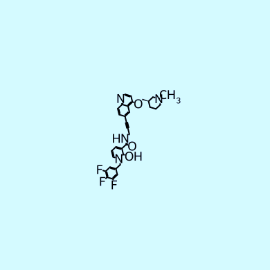 CN1CCC[C@@H](COc2ccnc3ccc(C#CCNC(=O)C4=CC=CN(Cc5cc(F)c(F)c(F)c5)C4O)cc23)C1